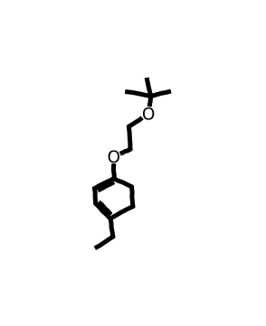 CCC1=CC=C(OCCOC(C)(C)C)CC1